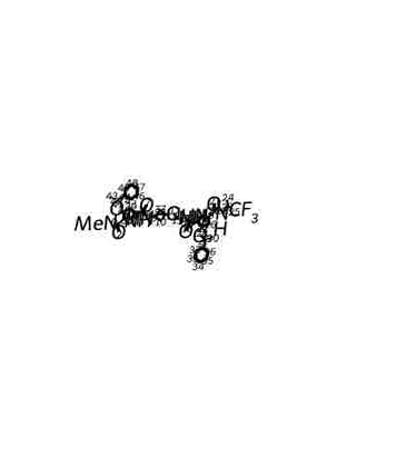 CNC(=O)c1[nH]c(C(=O)NC23CC(OCNC(=O)c4[nH]c(C(=O)N[C@H](C)C(F)(F)F)cc4O[C@@H](C)c4ccccc4)(C2)C3)cc1O[C@@H](C)c1ccccc1